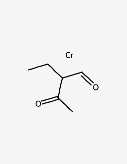 CCC(C=O)C(C)=O.[Cr]